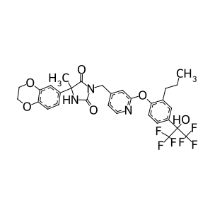 CCCc1cc(C(O)(C(F)(F)F)C(F)(F)F)ccc1Oc1cc(CN2C(=O)NC(C)(c3ccc4c(c3)OCCO4)C2=O)ccn1